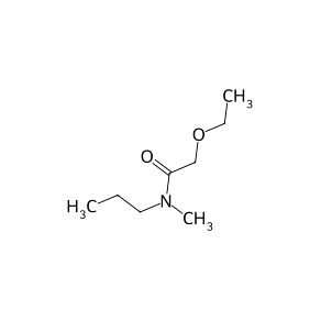 CCCN(C)C(=O)COCC